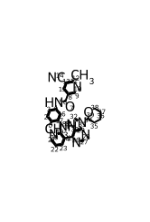 Cc1ccc(NC(=O)c2cnc(C)c(C#N)c2)cc1Nc1ncccc1-c1ncnc2c1ncn2C1CCCCO1